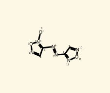 [O-][n+]1oncc1N=Nc1cnon1